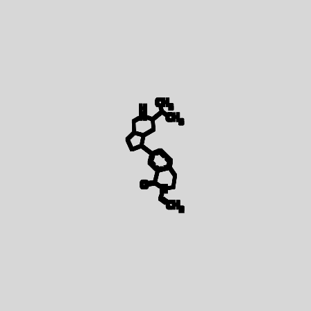 C=CN1CCc2ccc(C3CCC4CNC(C(C)C)CC43)cc2C1=O